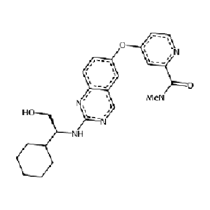 CNC(=O)c1cc(Oc2ccc3nc(N[C@H](CO)C4CCCCC4)ncc3c2)ccn1